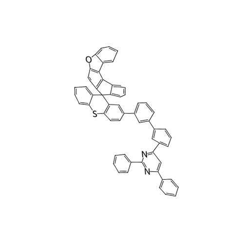 c1ccc(-c2cc(-c3cccc(-c4cccc(-c5ccc6c(c5)C5(c7ccccc7S6)c6ccccc6-c6c5ccc5oc7ccccc7c65)c4)c3)nc(-c3ccccc3)n2)cc1